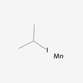 CC(C)I.[Mn]